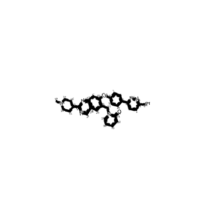 CC(C)c1ccc(-c2ccc(Oc3cc4nc(C5CCN(C)CC5)ncc4cc3Cn3ccccc3=O)cc2)nn1